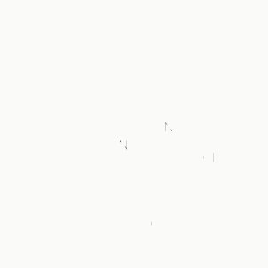 Cc1cc(C)cc(-c2nc3cc(C(F)(F)F)cc(C(F)(F)F)c3nc2-c2cc(C)cc(C)c2)c1